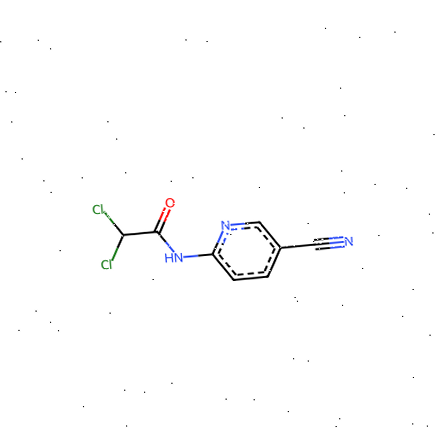 N#Cc1ccc(NC(=O)C(Cl)Cl)nc1